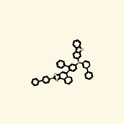 C1=CCC2C(c3ccc(N(C4=CC(c5ccccc5)CC=C4)c4ccc5c(c4)oc4ccccc45)cc3-c3ccccc3)=Cc3oc(-c4ccc(-c5ccccc5)cc4)nc3C2=C1